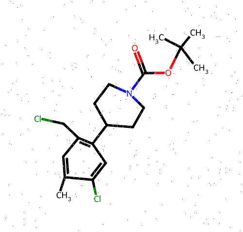 Cc1cc(CCl)c(C2CCN(C(=O)OC(C)(C)C)CC2)cc1Cl